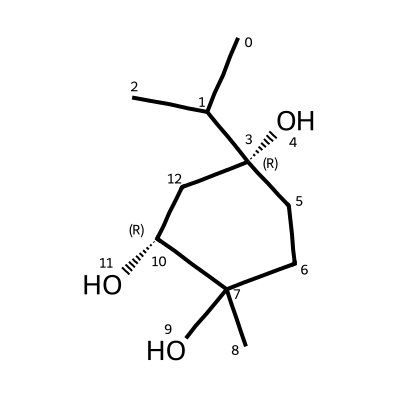 CC(C)[C@@]1(O)CCC(C)(O)[C@H](O)C1